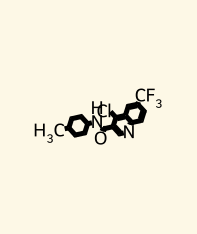 CC1CCC(NC(=O)c2cnc3ccc(C(F)(F)F)cc3c2Cl)CC1